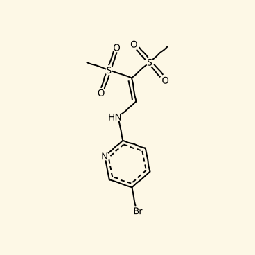 CS(=O)(=O)C(=CNc1ccc(Br)cn1)S(C)(=O)=O